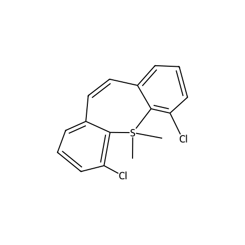 CS1(C)c2c(Cl)cccc2C=Cc2cccc(Cl)c21